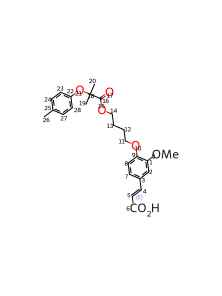 COc1cc(/C=C/C(=O)O)ccc1OCCCCOC(=O)C(C)(C)Oc1ccc(C)cc1